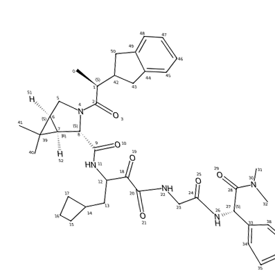 C[C@H](C(=O)N1C[C@H]2[C@@H]([C@H]1C(=O)NC(CC1CCC1)C(=O)C(=O)NCC(=O)N[C@H](C(=O)N(C)C)c1ccccc1)C2(C)C)C1Cc2ccccc2C1